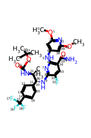 COc1cc(Nc2nc(N[C@H](c3ccc(C(F)(F)F)cc3)[C@H](C)NC(=O)OC(C)(C)C)c(F)cc2C(N)=O)cc(OC)n1